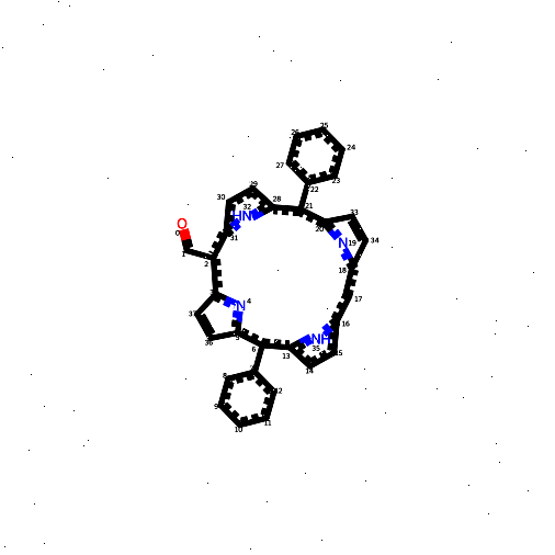 O=Cc1c2nc(c(-c3ccccc3)c3ccc(cc4nc(c(-c5ccccc5)c5ccc1[nH]5)C=C4)[nH]3)C=C2